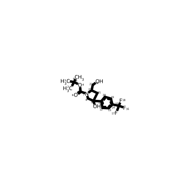 CC(C)(C)OC(=O)N1CC(O)(c2ccc(C(F)(F)F)cc2)CC1CO